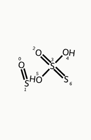 O=S.O=S(O)(O)=S